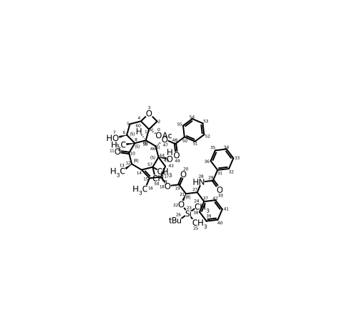 CC(=O)O[C@@]12COC1C[C@H](O)[C@@]1(C)C(=O)[C@H](C)C3=C(C)C(OC(=O)[C@H](O[Si](C)(C)C(C)(C)C)C(NC(=O)c4ccccc4)c4ccccc4)C[C@@](O)([C@@H](OC(=O)c4ccccc4)[C@@H]12)C3(C)C